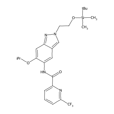 CC(C)Oc1cc2nn(CCO[Si](C)(C)C(C)(C)C)cc2cc1NC(=O)c1cccc(C(F)(F)F)n1